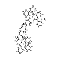 Cc1ccccc1N(c1ccc2cc3oc4cc5ccc(N(c6ccccc6C)c6cccc7c6oc6c(-c8ccccc8)cccc67)cc5cc4c3cc2c1)c1cccc2c1oc1c(-c3ccccc3)cccc12